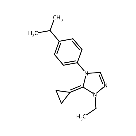 CCN1N=CN(c2ccc(C(C)C)cc2)C1=C1CC1